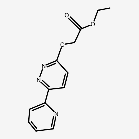 CCOC(=O)COc1ccc(-c2ccccn2)nn1